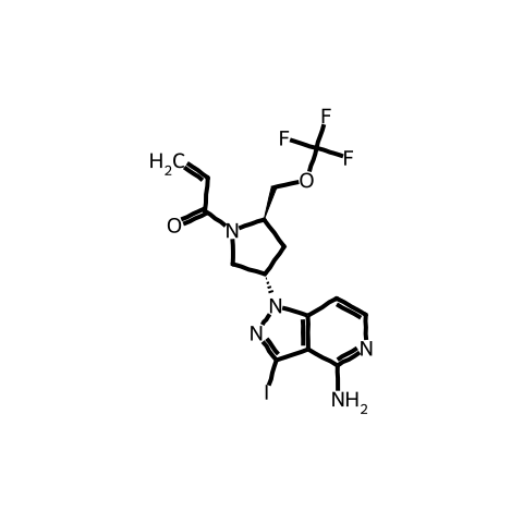 C=CC(=O)N1C[C@@H](n2nc(I)c3c(N)nccc32)C[C@@H]1COC(F)(F)F